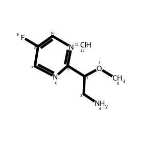 COC(CN)c1ncc(F)cn1.Cl